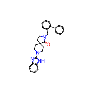 O=C1N(Cc2ccccc2-c2ccccc2)CCC12CCN(c1nc3ccccc3[nH]1)CC2